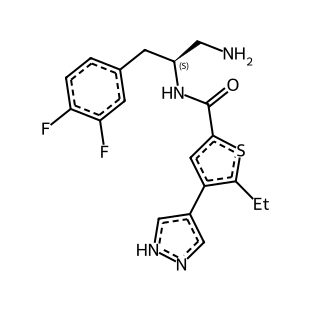 CCc1sc(C(=O)N[C@H](CN)Cc2ccc(F)c(F)c2)cc1-c1cn[nH]c1